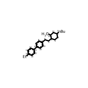 CCCCC1CCC(CCc2ccc(-c3ccc(CC)cc3)cc2)C(C)C1